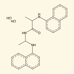 CC(NC(=O)C(C)Nc1cccc2ccccc12)Nc1cccc2ccccc12.Cl.Cl